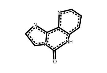 O=c1[nH]c2cccnc2c2nccn12